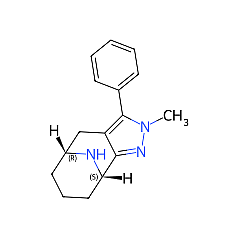 Cn1nc2c(c1-c1ccccc1)C[C@H]1CCC[C@@H]2N1